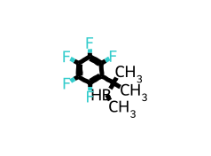 CBC(C)(C)c1c(F)c(F)c(F)c(F)c1F